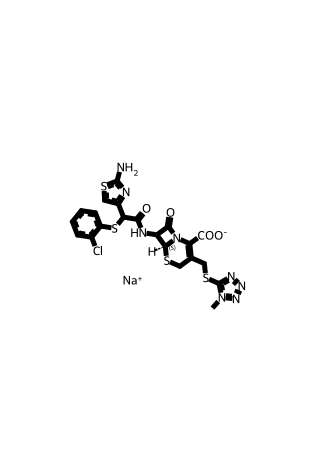 Cn1nnnc1SCC1=C(C(=O)[O-])N2C(=O)C(NC(=O)C(Sc3ccccc3Cl)c3csc(N)n3)[C@@H]2SC1.[Na+]